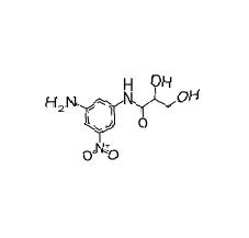 Nc1cc(NC(=O)C(O)CO)cc([N+](=O)[O-])c1